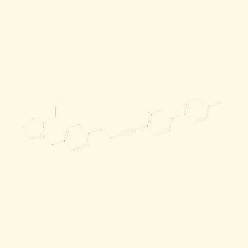 COCC1CCCN1Cc1ccc(CCC#Cc2ccc(-c3ccc(Cl)cc3)cn2)cc1